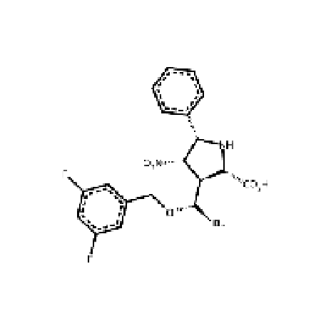 CC[C@H](C)[C@H](OCc1cc(F)cc(F)c1)[C@H]1[C@H]([N+](=O)[O-])[C@H](c2ccccc2)N[C@@H]1C(=O)O